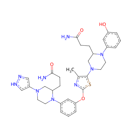 Cc1nc(Oc2cccc(N3CCN(c4cn[nH]c4)CC3CCC(N)=O)c2)sc1N1CCN(c2cccc(O)c2)C(CCC(N)=O)C1